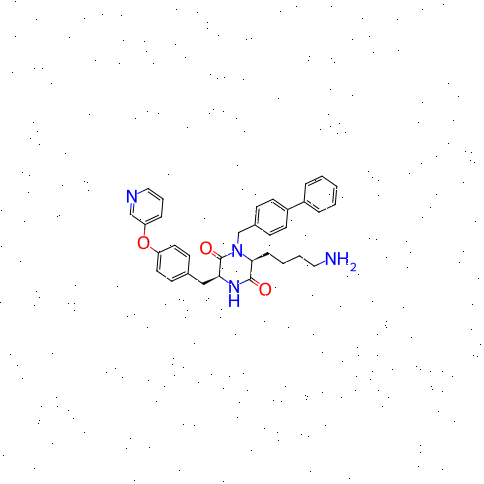 NCCCC[C@H]1C(=O)N[C@@H](Cc2ccc(Oc3cccnc3)cc2)C(=O)N1Cc1ccc(-c2ccccc2)cc1